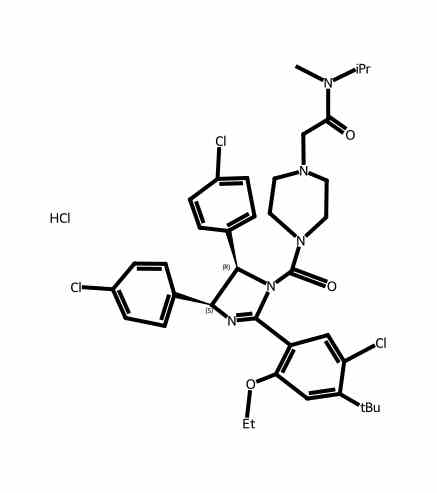 CCOc1cc(C(C)(C)C)c(Cl)cc1C1=N[C@@H](c2ccc(Cl)cc2)[C@@H](c2ccc(Cl)cc2)N1C(=O)N1CCN(CC(=O)N(C)C(C)C)CC1.Cl